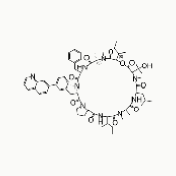 CCC(C)C1NC(=O)C2CCCN2C(=O)C(Cc2cccc(-c3ccc4cccnc4c3)c2)N(C)C(=O)C(Cc2ccccc2)NC(=O)[C@H](C)N(C)C(=O)C([C@H](C)CC)OC(=O)C(C(C)(C)O)N(C)C(=O)C(CC(C)C)NC(=O)C(C)N(C)C1=O